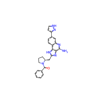 Nc1nc2cc(-c3cc[nH]n3)ccc2c2[nH]c(C[C@@H]3CCCN3C(=O)c3ccccc3)nc12